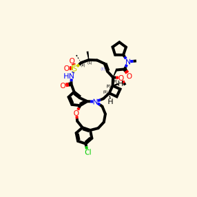 CO[C@@]1(CC(=O)N(C)C2CCCC2)/C=C/C[C@H](C)[C@@H](C)S(=O)(=O)NC(=O)c2ccc3c(c2)N(CCCCc2cc(Cl)ccc2CO3)C[C@@H]2CC[C@H]21